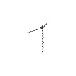 CCCCCCCCCCCCCCCCCCCC1N(CCCCC)C=CN1CCCCCCCCCCC